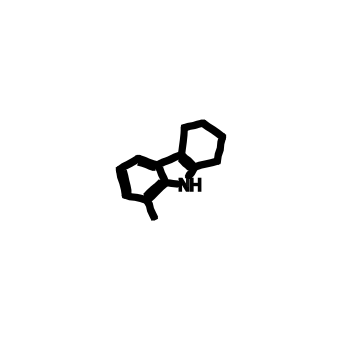 Cc1cccc2c3c([nH]c12)CCCC3